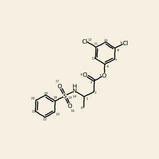 CC(CC(=O)Oc1cc(Cl)cc(Cl)c1)NS(=O)(=O)c1ccccc1